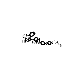 CN1CCN(c2ccc(Nc3nccc(-c4c[nH]nc4-c4ccccc4Cl)n3)cc2)CC1